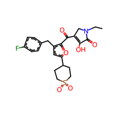 CCN1CC(C(=O)c2oc(C3CCS(=O)(=O)CC3)cc2Cc2ccc(F)cc2)=C(O)C1=O